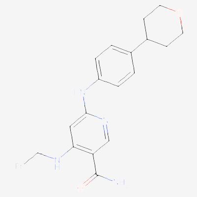 CC(C)CNc1cc(Nc2ccc(C3CCOCC3)cc2)ncc1C(N)=O